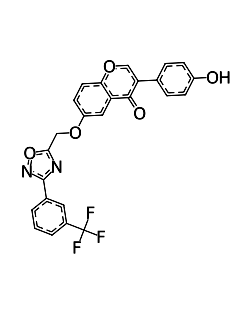 O=c1c(-c2ccc(O)cc2)coc2ccc(OCc3nc(-c4cccc(C(F)(F)F)c4)no3)cc12